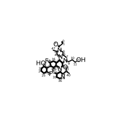 C=CC(=O)N1CC2CN(CCCO)c3c(c4cc(F)c(-c5c(O)cccc5F)c(F)c4n(-c4c(C)ccnc4C(C)C)c3=O)N2CC1C